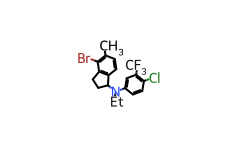 CCN(c1ccc(Cl)c(C(F)(F)F)c1)C1CCc2c1ccc(C)c2Br